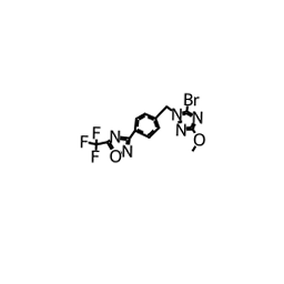 COc1nc(Br)n(Cc2ccc(-c3noc(C(F)(F)F)n3)cc2)n1